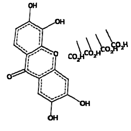 CC(=O)O.CC(=O)O.CC(=O)O.CC(=O)O.O=c1c2cc(O)c(O)cc2oc2c(O)c(O)ccc12